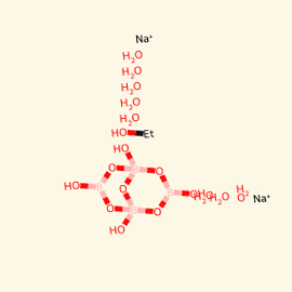 O.O.O.O.O.O.O.O.OB1O[B-]2(O)OB(O)O[B-](O)(O1)O2.[CH2]CO.[Na+].[Na+]